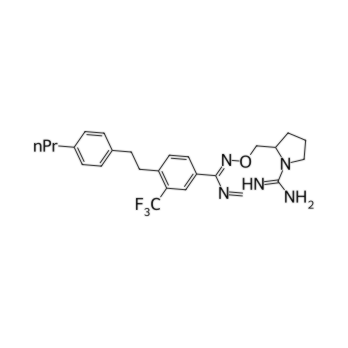 C=N/C(=N\OCC1CCCN1C(=N)N)c1ccc(CCc2ccc(CCC)cc2)c(C(F)(F)F)c1